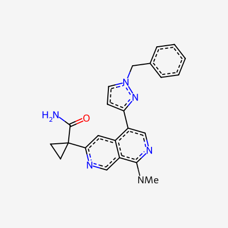 CNc1ncc(-c2ccn(Cc3ccccc3)n2)c2cc(C3(C(N)=O)CC3)ncc12